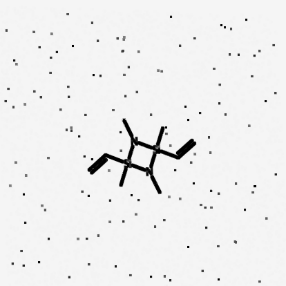 C=C[Si]1(C)N(C)[Si](C)(C=C)N1C